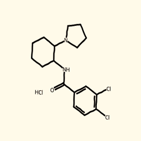 Cl.O=C(NC1CCCCC1N1CCCC1)c1ccc(Cl)c(Cl)c1